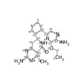 CCOc1nc(-c2ccccc2C2Cc3nc(N)nc(C)c3C(=O)N2)cnc1N